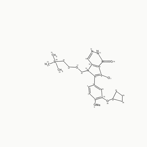 COc1ccc(-c2c(Cl)c3c(=O)[nH]ncc3n2COCC[Si](C)(C)C)cc1OC1CCC1